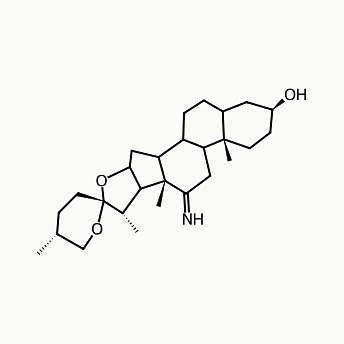 C[C@@H]1CC[C@@]2(OC1)OC1CC3C4CCC5C[C@@H](O)CC[C@]5(C)C4CC(=N)[C@]3(C)C1[C@@H]2C